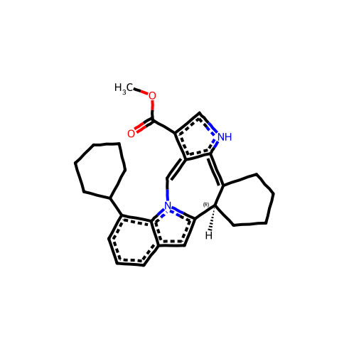 COC(=O)c1c[nH]c2c1=Cn1c(cc3cccc(C4CCCCC4)c31)[C@@H]1CCCCC=21